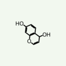 Oc1ccc2c(c1)OC=CC2O